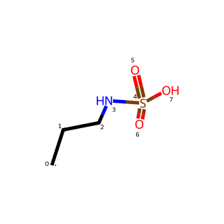 [CH2]CCNS(=O)(=O)O